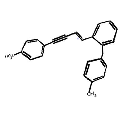 Cc1ccc(-c2ccccc2/C=C/C#Cc2ccc(C(=O)O)cc2)cc1